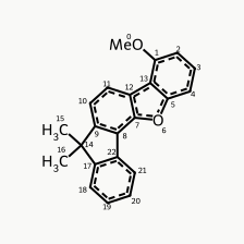 COc1cccc2oc3c4c(ccc3c12)C(C)(C)c1ccccc1-4